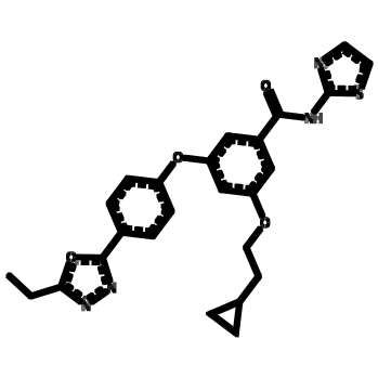 CCc1nnc(-c2ccc(Oc3cc(OCCC4CC4)cc(C(=O)Nc4nccs4)c3)cc2)o1